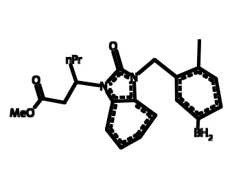 Bc1ccc(C)c(Cn2c(=O)n(C(CCC)CC(=O)OC)c3ccccc32)c1